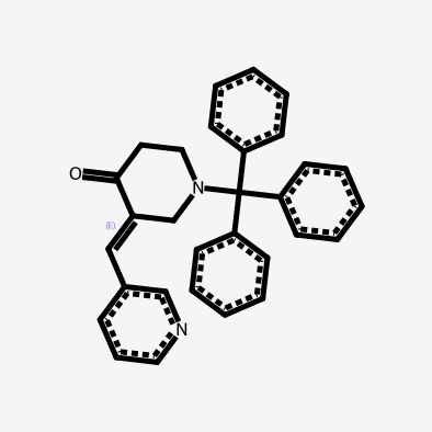 O=C1CCN(C(c2ccccc2)(c2ccccc2)c2ccccc2)C/C1=C\c1cccnc1